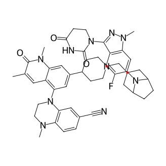 Cc1cc2c(N3CCN(C)c4ccc(C#N)cc43)cc(C3CCN(CC4CC5CCC(C4)N5c4cc5c(cc4F)c(N4CCC(=O)NC4=O)nn5C)CC3)cc2n(C)c1=O